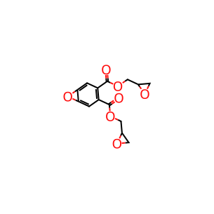 O=C(OCC1CO1)c1cc2c(cc1C(=O)OCC1CO1)O2